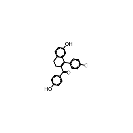 O=C(C1=C(c2ccc(Cl)cc2)c2cc(O)ccc2CC1)c1ccc(O)cc1